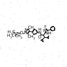 Cc1nn(COCC[Si](C)(C)C)c(C)c1-c1ccc(NC(=O)C(c2nc(F)c(-c3ccccc3)[nH]2)C(C2CC2)C2CC2)cc1